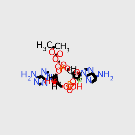 CC(C)OC(=O)OCOP1(=O)OC[C@H]2O[C@@H](n3cnc4c(N)ccnc43)[C@@H](F)C2OP(=O)(O)OC[C@H]2O[C@@H](n3cnc4c(N)ncnc43)C(O1)[C@H]2O